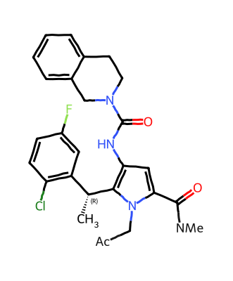 CNC(=O)c1cc(NC(=O)N2CCc3ccccc3C2)c([C@H](C)c2cc(F)ccc2Cl)n1CC(C)=O